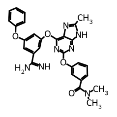 Cc1nc2c(Oc3cc(Oc4ccccc4)cc(C(=N)N)c3)nc(Oc3cccc(C(=O)N(C)C)c3)nc2[nH]1